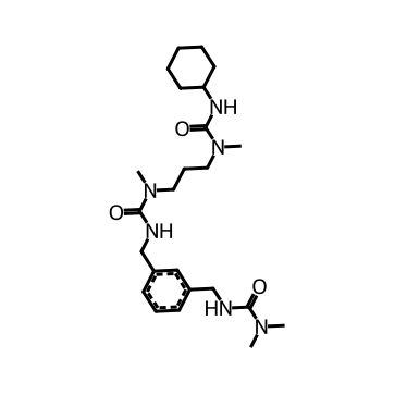 CN(C)C(=O)NCc1cccc(CNC(=O)N(C)CCCN(C)C(=O)NC2CCCCC2)c1